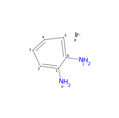 Nc1ccccc1N.[Ir]